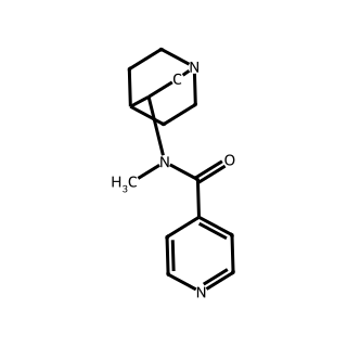 CN(C(=O)c1ccncc1)C1CN2CCC1CC2